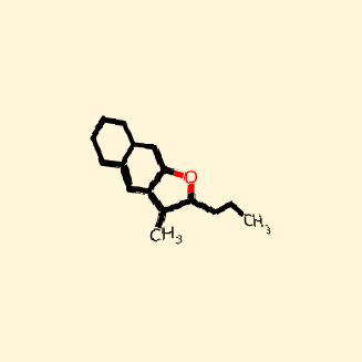 CCCC1OC2CC3CCCCC3=CC2C1C